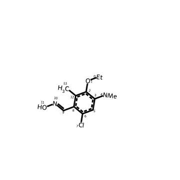 CCOc1c(NC)cc(Cl)c(C=NO)c1C